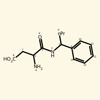 CCCC(NC(=O)C(N)CC(=O)O)c1ccccc1